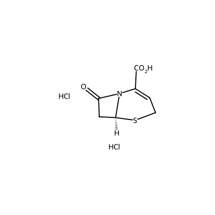 Cl.Cl.O=C(O)C1=CCS[C@H]2CC(=O)N12